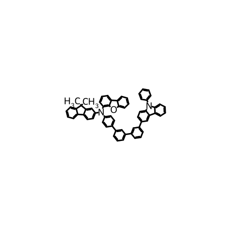 CC1(C)c2ccccc2-c2ccc(N(c3ccc(-c4cccc(-c5cccc(-c6ccc7c(c6)c6ccccc6n7-c6ccccc6)c5)c4)cc3)c3cccc4c3oc3ccccc34)cc21